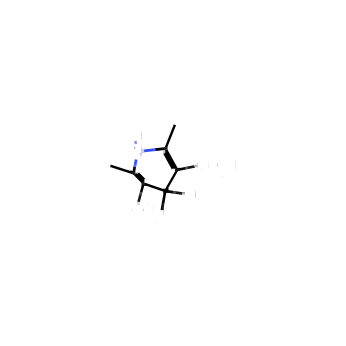 CCN1C(C)=C(C(=O)O)C(C)(CC)C(C(=O)O)=C1C